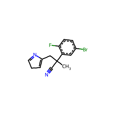 CC(C#N)(CC1=CCC=N1)c1cc(Br)ccc1F